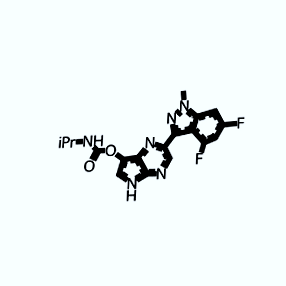 CC(C)NC(=O)Oc1c[nH]c2ncc(-c3nn(C)c4cc(F)cc(F)c34)nc12